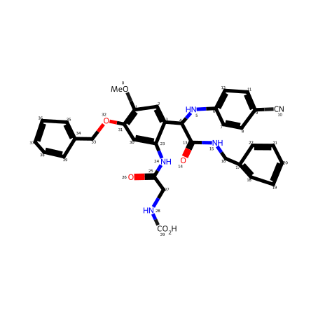 COc1cc(C(Nc2ccc(C#N)cc2)C(=O)NCc2ccccc2)c(NC(=O)CNC(=O)O)cc1OCc1ccccc1